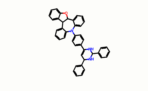 C1=C(c2ccc(N3c4ccccc4C4Oc5ccccc5C4c4ccccc43)cc2)NC(c2ccccc2)NC1c1ccccc1